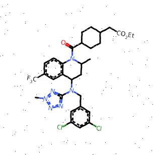 CCOC(=O)CC1CCC(C(=O)N2c3ccc(C(F)(F)F)cc3C(N(Cc3cc(Cl)cc(Cl)c3)c3nnn(C)n3)CC2C)CC1